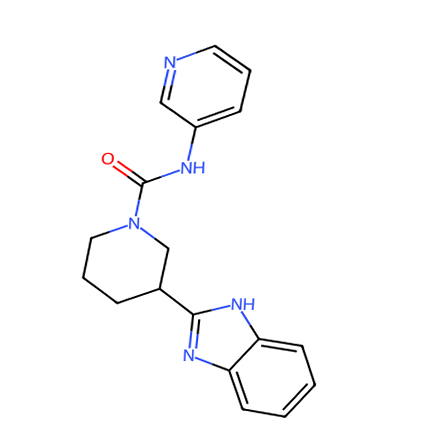 O=C(Nc1cccnc1)N1CCCC(c2nc3ccccc3[nH]2)C1